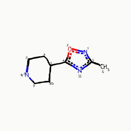 Cc1noc(C2CC[N]CC2)n1